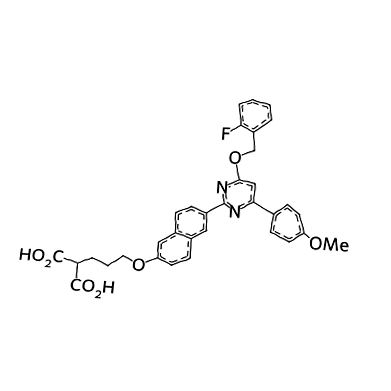 COc1ccc(-c2cc(OCc3ccccc3F)nc(-c3ccc4cc(OCCCC(C(=O)O)C(=O)O)ccc4c3)n2)cc1